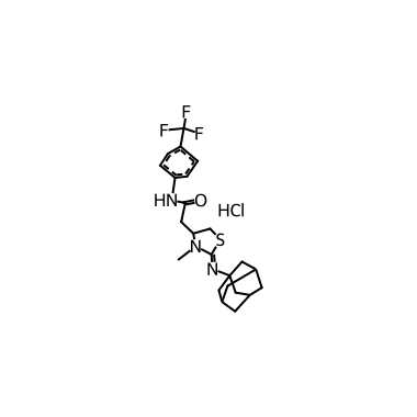 CN1/C(=N/C23CC4CC(CC(C4)C2)C3)SCC1CC(=O)Nc1ccc(C(F)(F)F)cc1.Cl